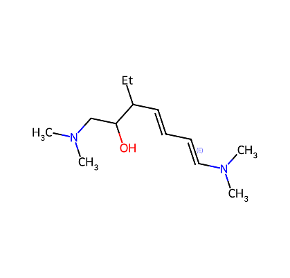 CCC(C=C/C=C/N(C)C)C(O)CN(C)C